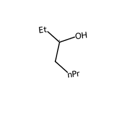 CCCC[C](O)CC